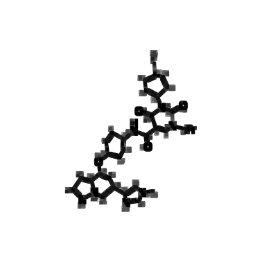 CC(C)n1cc(C(=O)Nc2ccc(Oc3cc(-c4cn(C)cn4)cn4nccc34)cc2)c(=O)n(-c2ccc(F)cc2)c1=O